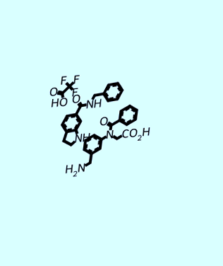 NCc1cccc(N(CC(=O)O)C(=O)c2ccccc2)c1.O=C(NCc1ccccc1)c1ccc2c(c1)NCC2.O=C(O)C(F)(F)F